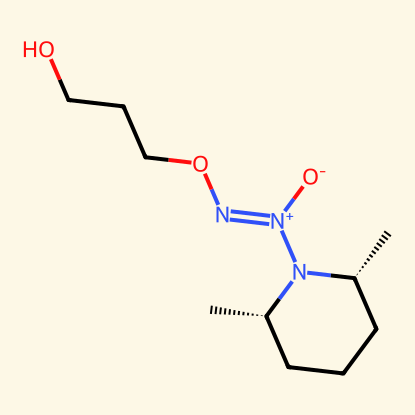 C[C@@H]1CCC[C@H](C)N1/[N+]([O-])=N/OCCCO